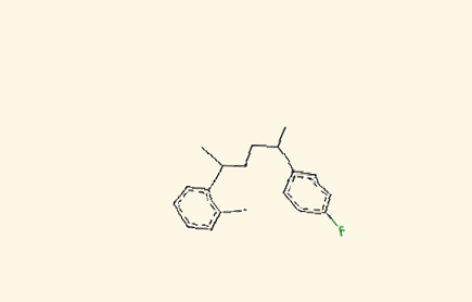 Cc1ccccc1C(C)CCC(C)c1ccc(F)cc1